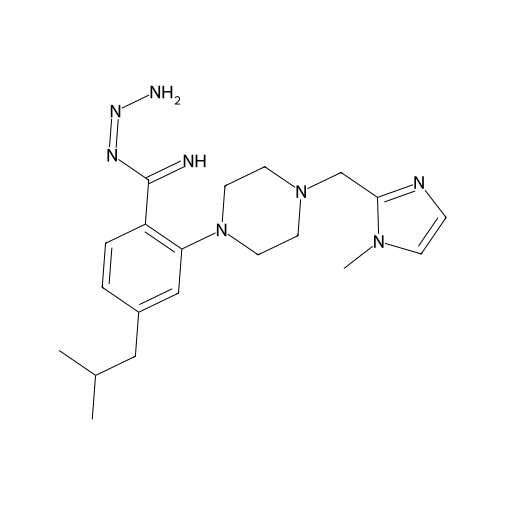 CC(C)Cc1ccc(C(=N)/N=N\N)c(N2CCN(Cc3nccn3C)CC2)c1